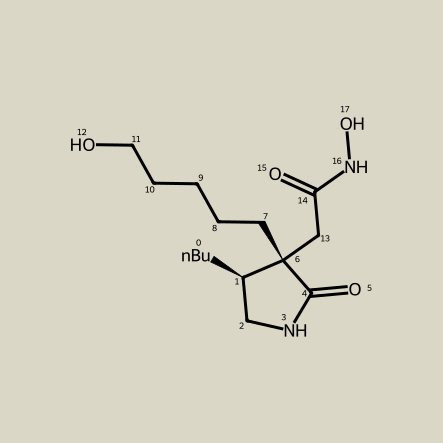 CCCC[C@@H]1CNC(=O)[C@@]1(CCCCCO)CC(=O)NO